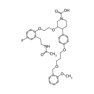 COc1ccccc1COCCCOc1ccc(C2CCN(C(=O)O)CC2OCCOc2ccc(F)cc2CCNC(C)=O)cc1